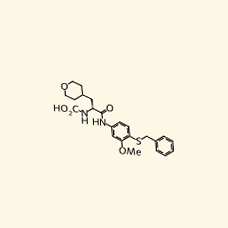 COc1cc(NC(=O)[C@H](CC2CCOCC2)NC(=O)O)ccc1SCc1ccccc1